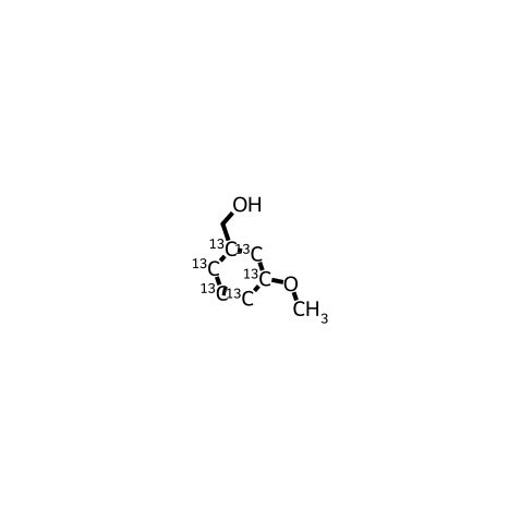 CO[13CH]1[13CH]=[13CH][13CH2][13CH](CO)[13CH2]1